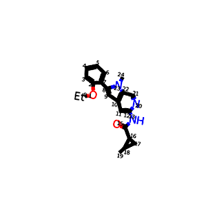 CCOc1ccccc1-c1cc2cc(NC(=O)C3CC3C)ncc2n1C